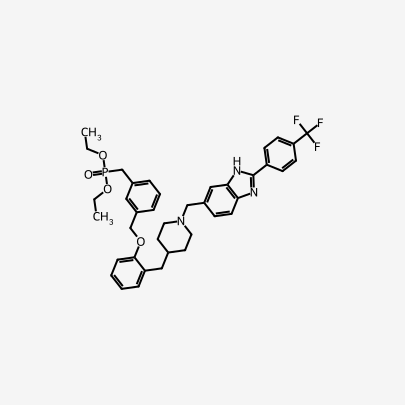 CCOP(=O)(Cc1cccc(COc2ccccc2CC2CCN(Cc3ccc4nc(-c5ccc(C(F)(F)F)cc5)[nH]c4c3)CC2)c1)OCC